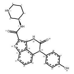 O=C(N[C@@H]1CCCNC1)c1sc2nccc3c2c1NC(=O)N3c1ccc(O)cc1